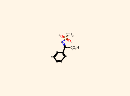 CS(=O)(=O)N=C(C(=O)O)c1ccccc1